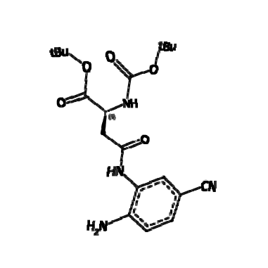 CC(C)(C)OC(=O)N[C@@H](CC(=O)Nc1cc(C#N)ccc1N)C(=O)OC(C)(C)C